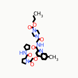 CCCCOC(=O)N1CCN(C(=O)CNC(=O)c2cc(OCC(=O)N3CCCC3C(=O)NC3CCCC3)c3ccc(C)cc3n2)CC1